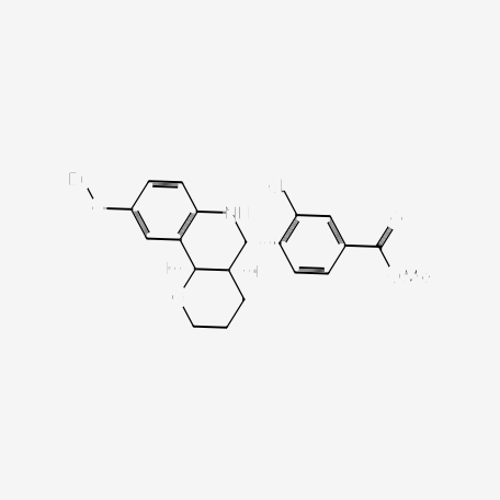 CCOc1ccc2c(c1)[C@@H]1OCCC[C@@H]1[C@@H](c1ccc(C(=O)OC)cc1Cl)N2